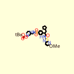 COc1ccc2nc(NC(=O)C(CC3CCCC3)c3ccc(S(=O)(=O)NCC4CCCN(OC(=O)OC(C)(C)C)C4)cc3)sc2n1